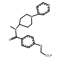 CN(C(=O)c1ccc(OCC(=O)O)cc1)C1CCN(c2ccncc2)CC1